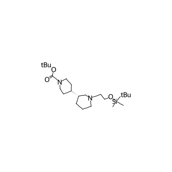 CC(C)(C)OC(=O)N1CCC([C@H]2CCCN(CCO[Si](C)(C)C(C)(C)C)C2)CC1